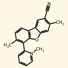 Cc1cc2oc3c(-c4cccc[n+]4C)c(C)ccc3c2cc1C#N